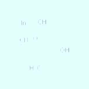 CC(=O)O.[CH3][In][CH3]